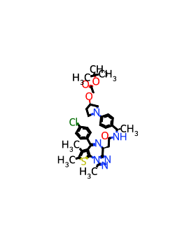 Cc1sc2c(c1C)C(c1ccc(Cl)cc1)=N[C@@H](CC(=O)N[C@H](C)c1ccc(N3CC[C@@H](OCC(=O)OC(C)(C)C)C3)cc1)c1nnc(C)n1-2